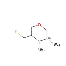 CC(C)(C)C1C(CF)COC[C@@H]1C(C)(C)C